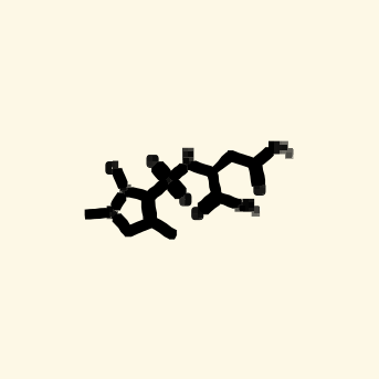 CC1=C(S(=O)(=O)N[C@@H](CC(N)=O)C(N)=O)N(Cl)N(C)C1